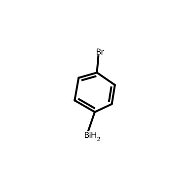 Brc1cc[c]([BiH2])cc1